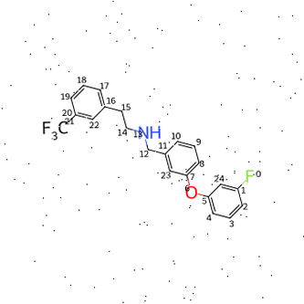 Fc1cccc(Oc2cccc(CNCCc3cccc(C(F)(F)F)c3)c2)c1